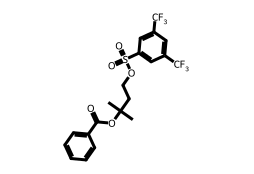 CC(C)(CCOS(=O)(=O)c1cc(C(F)(F)F)cc(C(F)(F)F)c1)OC(=O)c1ccccc1